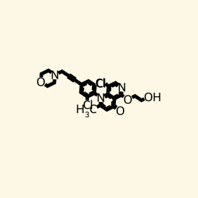 Cc1cc(=O)c2c(OCCO)ncc(Cl)c2n1-c1c(Cl)cc(C#CCN2CCOCC2)cc1Cl